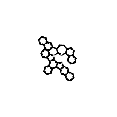 C1=C(c2ccc3ccccc3c2)C(n2c3ccccc3c3c4ccccc4c4c5cc6ccccc6cc5sc4c32)=Nc2c(ccc3ccccc23)C1